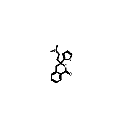 CN(C)CCC1(c2cccs2)Cc2ccccc2C(=O)O1